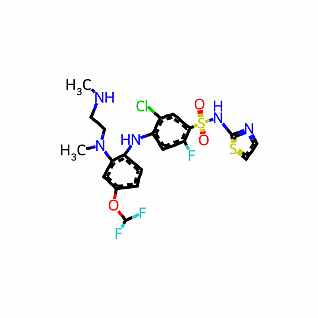 CNCCN(C)c1cc(OC(F)F)ccc1Nc1cc(F)c(S(=O)(=O)Nc2nccs2)cc1Cl